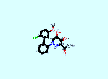 CCOc1ccc(Cl)c(-c2ccccc2-n2cc(O)c(=O)c(C(=O)NC)n2)c1